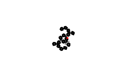 c1ccc(-c2cccc(-c3ccc4c(c3)c3cc(N(c5ccccc5)c5ccc(-c6nc7ccccc7nc6-c6ccc(N(c7ccccc7)c7ccc8c(c7)c7cc(-c9cccc(-c%10ccccc%10)c9)ccc7n8-c7ccccc7)cc6)cc5)ccc3n4-c3ccccc3)c2)cc1